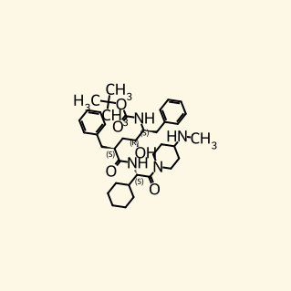 CNC1CCN(C(=O)[C@@H](NC(=O)[C@@H](Cc2ccccc2)C[C@@H](O)[C@H](Cc2ccccc2)NC(=O)OC(C)(C)C)C2CCCCC2)CC1